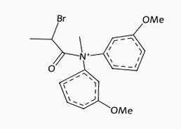 COc1cccc([N+](C)(C(=O)C(C)Br)c2cccc(OC)c2)c1